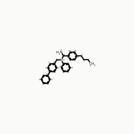 CCCCc1ccc(C(N)N(Cc2ccc(-c3ccccc3)cc2)c2ccccc2)cc1